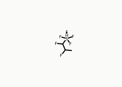 CC(F)C(F)[SH](F)(F)(F)F